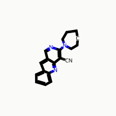 N#Cc1c(N2CCCCCC2)ncc2cc3ccccc3nc12